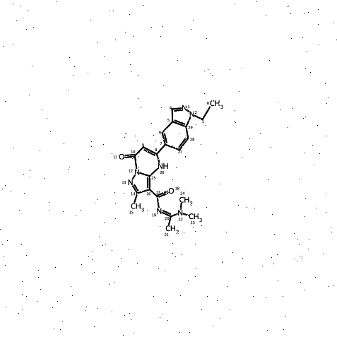 CCn1ncc2cc(-c3cc(=O)n4nc(C)c(C(=O)N=C(C)N(C)C)c4[nH]3)ccc21